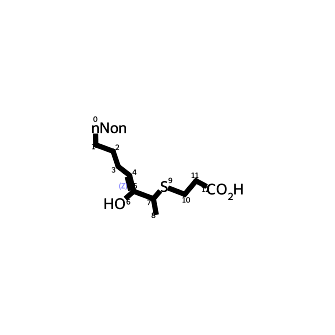 CCCCCCCCCCCC/C=C(\O)C(C)SCCC(=O)O